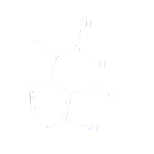 COc1c(N)cccc1C(=O)N(C)C